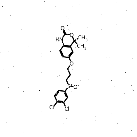 CC1(C)OC(=O)Nc2ccc(OCCC[S+]([O-])c3ccc(Cl)c(Cl)c3)cc21